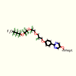 CCCCCCCOc1cnc(-c2ccc(OCC(F)COCC(F)(F)OC(F)(F)C(F)(F)OC(F)(F)C(F)(F)C(F)(F)C(F)(F)F)cc2)nc1